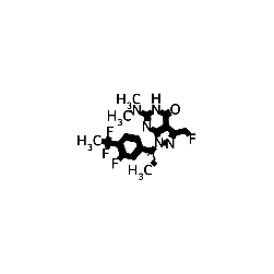 CC[C@H](c1ccc(C(C)(F)F)c(F)c1)n1nc(CF)c2c(=O)[nH]c(N(C)C)nc21